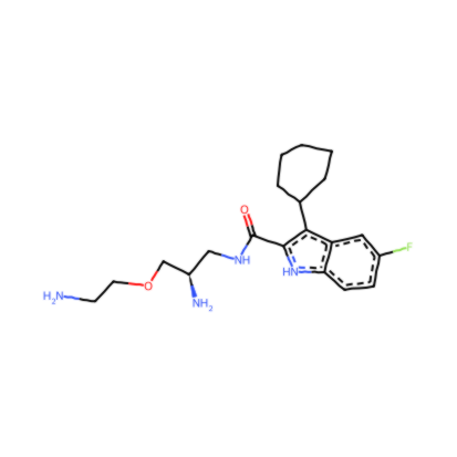 NCCOC[C@H](N)CNC(=O)c1[nH]c2ccc(F)cc2c1C1CCCCC1